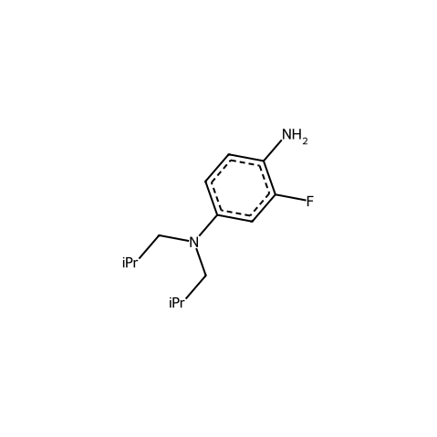 CC(C)CN(CC(C)C)c1ccc(N)c(F)c1